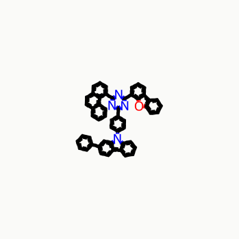 c1ccc(-c2ccc3c4ccccc4n(-c4ccc(-c5nc(-c6cccc7c6oc6ccccc67)nc(-c6cccc7ccc8ccccc8c67)n5)cc4)c3c2)cc1